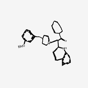 COc1cccc(C2CCN(C(C(=O)C3CCCCC3)C3CCc4ccccc4N3)CC2)c1